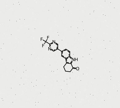 O=C1CCCc2c1[nH]c1ccc(-c3cnc(C(F)(F)F)nc3)cc21